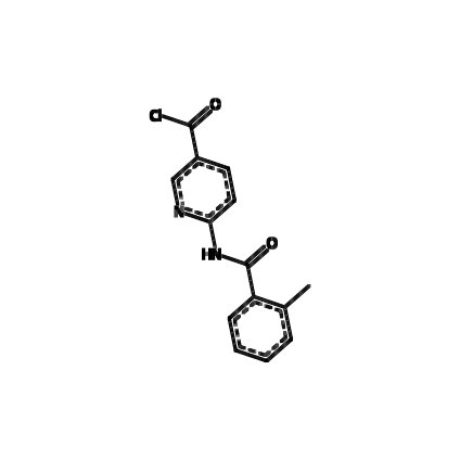 Cc1ccccc1C(=O)Nc1ccc(C(=O)Cl)cn1